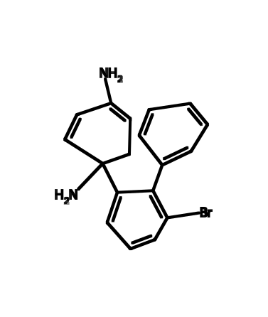 NC1=CCC(N)(c2cccc(Br)c2-c2ccccc2)C=C1